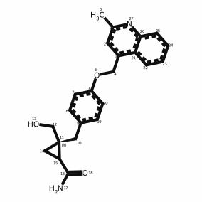 Cc1cc(COc2ccc(C[C@]3(CO)CC3C(N)=O)cc2)c2ccccc2n1